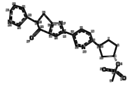 CS(=O)(=O)O[C@H]1CCN(c2ccc(-n3cc4c(n3)CN(c3cccnc3)C4=O)cn2)C1